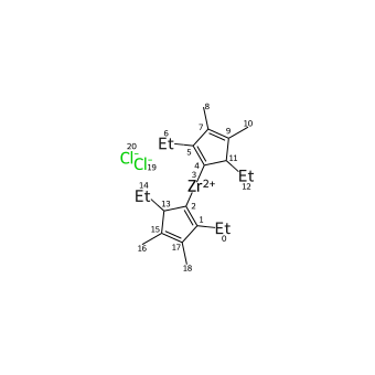 CCC1=[C]([Zr+2][C]2=C(CC)C(C)=C(C)C2CC)C(CC)C(C)=C1C.[Cl-].[Cl-]